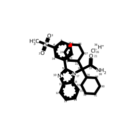 CS(=O)(=O)c1cccc(-c2nc3ccccc3n2C(C(N)=O)(C2CCCCC2)C2CCCCC2)c1.[Cl-].[H+]